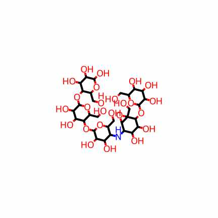 OCC1OC(OC2C(O)C(O)C(NC3C(CO)OC(OC4C(CO)OC(OC5C(CO)OC(O)C(O)C5O)C(O)C4O)C(O)C3O)C3OC23CO)C(O)C(O)C1O